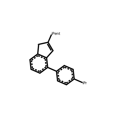 CCCC(C)C1=Cc2c(cccc2-c2ccc(C(C)C)cc2)[CH]1